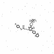 NS(=O)(=O)C1CCN(c2nc(CCCN[C@@H]3C[C@H]3c3ccc(F)cc3)cn(-c3ccc(-c4ncccn4)cc3)c2=O)CC1